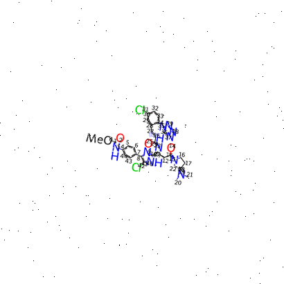 COC(=O)Nc1ccc(-c2nc([C@H](CC(=O)N3CC[C@@H](N(C)C)C3)NC(=O)/C=C/c3cc(Cl)ccc3-n3cnnn3)[nH]c2Cl)cc1